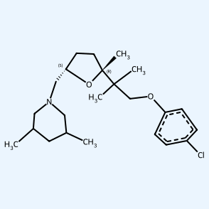 CC1CC(C)CN(C[C@@H]2CC[C@](C)(C(C)(C)COc3ccc(Cl)cc3)O2)C1